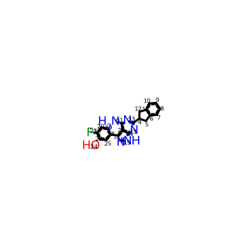 Nc1nc(C2Cc3ccccc3C2)nc2[nH]nc(-c3ccc(F)c(O)c3)c12